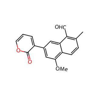 COc1cc(-c2cccoc2=O)cc2c(C=O)c(C)ccc12